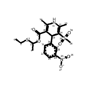 CCSC(C)OC(=O)C1=C(C)NC(C)=C(S(C)(=O)=O)C1c1cccc([N+](=O)[O-])c1